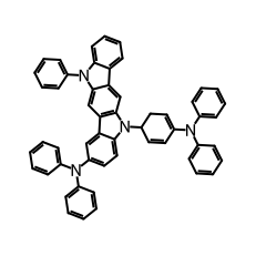 C1=CC(n2c3ccc(N(c4ccccc4)c4ccccc4)cc3c3cc4c(cc32)c2ccccc2n4-c2ccccc2)CC=C1N(c1ccccc1)c1ccccc1